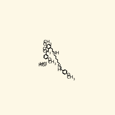 COc1ccc(CCNCCCCCCNCCc2ccc(OC)c(OC)c2CCc2cccc(OC)c2)cc1.Cl.Cl